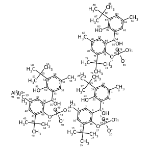 Cc1cc(C(O)c2cc(C)cc(C(C)(C)C)c2OP(=O)([O-])[O-])c(O)c(C(C)(C)C)c1.Cc1cc(C(O)c2cc(C)cc(C(C)(C)C)c2OP(=O)([O-])[O-])c(O)c(C(C)(C)C)c1.Cc1cc(C(O)c2cc(C)cc(C(C)(C)C)c2OP(=O)([O-])[O-])c(O)c(C(C)(C)C)c1.[Al+3].[Al+3]